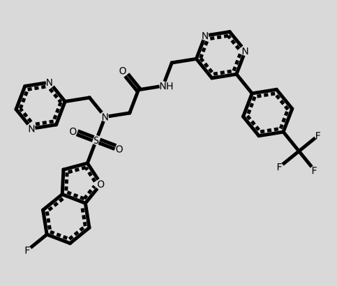 O=C(CN(Cc1cnccn1)S(=O)(=O)c1cc2cc(F)ccc2o1)NCc1cc(-c2ccc(C(F)(F)F)cc2)ncn1